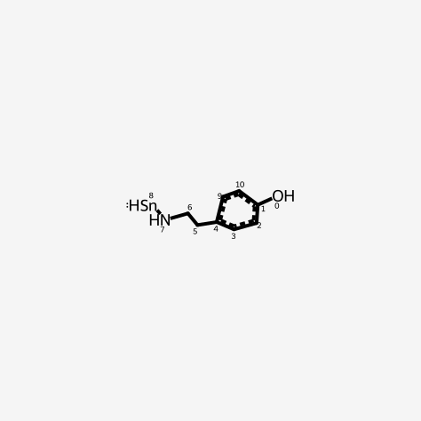 Oc1ccc(CC[NH][SnH])cc1